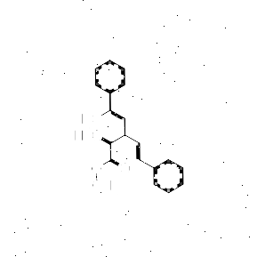 C=C(C(=O)OC)C(C=Cc1ccccc1)C=C(C)c1ccccc1